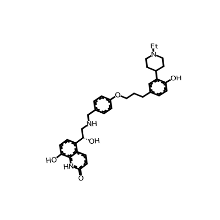 CCN1CCC(c2cc(CCCOc3ccc(CNC[C@H](O)c4ccc(O)c5[nH]c(=O)ccc45)cc3)ccc2O)CC1